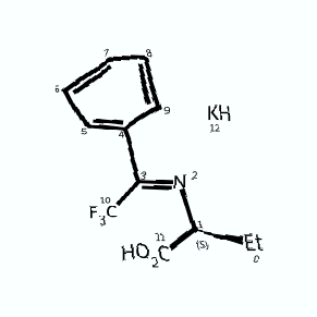 CC[C@H](N=C(c1ccccc1)C(F)(F)F)C(=O)O.[KH]